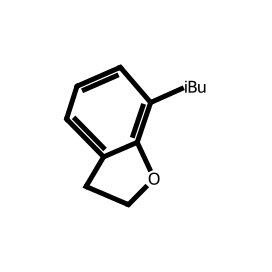 CCC(C)c1cccc2c1OCC2